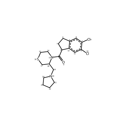 O=C(C1CCc2cc(Cl)c(Cl)cc21)N1CCSCC1CN1CCCC1